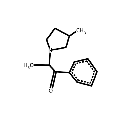 CC1CCN(C(C)C(=O)c2ccccc2)C1